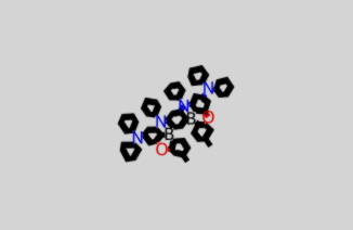 Cc1ccc2c(c1)Oc1cc(N(c3ccccc3)c3ccccc3)cc3c1B2c1cc2c(cc1N3c1ccccc1)N(c1ccccc1)c1cc(N(c3ccccc3)c3ccccc3)cc3c1B2c1ccc(C)cc1O3